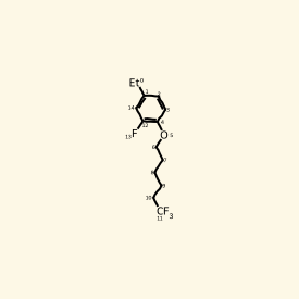 CCc1ccc(OCCCCCC(F)(F)F)c(F)c1